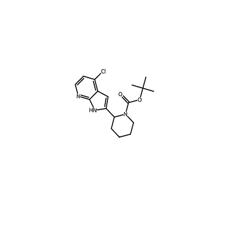 CC(C)(C)OC(=O)N1CCCCC1c1cc2c(Cl)ccnc2[nH]1